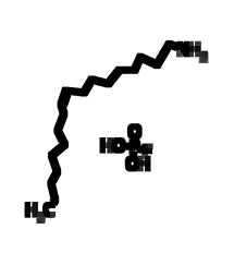 CCCCCCCC/C=C\CCCCCCCCN.O=P(O)(O)F